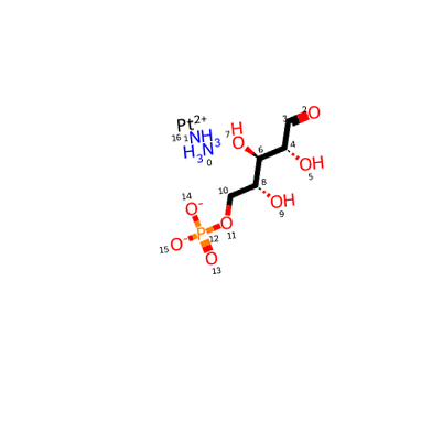 N.N.O=C[C@H](O)[C@H](O)[C@H](O)COP(=O)([O-])[O-].[Pt+2]